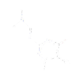 Cc1nc(N=CN(C)C)[nH]c(=O)c1[N+](=O)[O-]